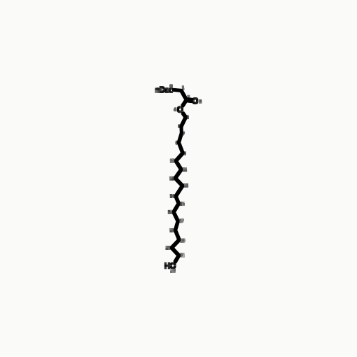 CCCCCCCCCCCC(=O)OCCCCCCCCCCCCCCCCCO